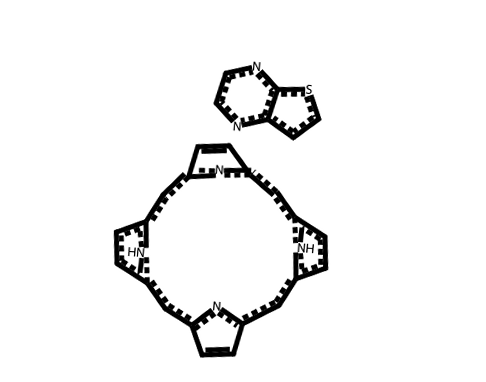 C1=Cc2cc3ccc(cc4nc(cc5ccc(cc1n2)[nH]5)C=C4)[nH]3.c1cnc2sccc2n1